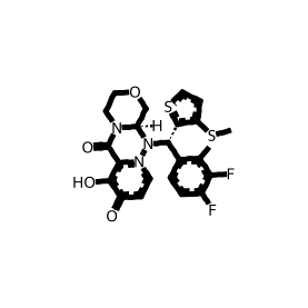 CSc1ccsc1[C@H](c1ccc(F)c(F)c1C)N1[C@@H]2COCCN2C(=O)c2c(O)c(=O)ccn21